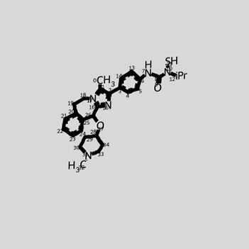 Cc1c(-c2ccc(NC(=O)N(S)C(C)C)cc2)nc2n1CCc1ccccc1C2OC1CCN(C)CC1